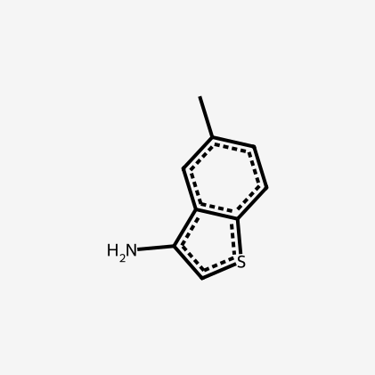 Cc1ccc2scc(N)c2c1